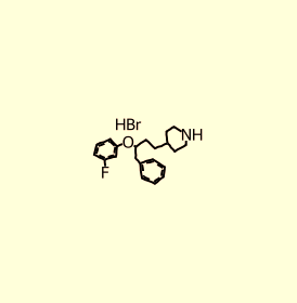 Br.Fc1cccc(OC(CCC2CCNCC2)Cc2ccccc2)c1